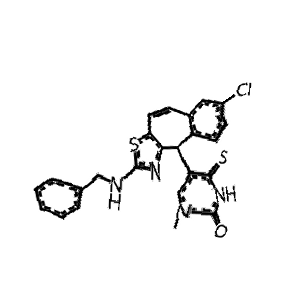 Cn1cc(C2c3ccc(Cl)cc3C=Cc3sc(NCc4ccccc4)nc32)c(=S)[nH]c1=O